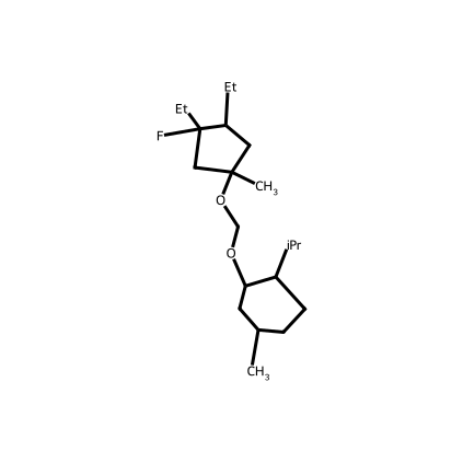 CCC1CC(C)(OCOC2CC(C)CCC2C(C)C)CC1(F)CC